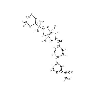 [2H]C([2H])(C1CCOC(C)(C)C1)N1C[C@H]2CC(Nc3ccc(-c4cccc(C(=O)NC)c4)nn3)C[C@H]2C1